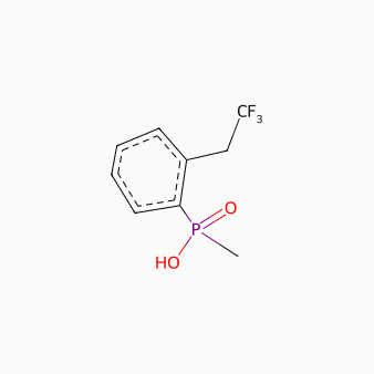 CP(=O)(O)c1ccccc1CC(F)(F)F